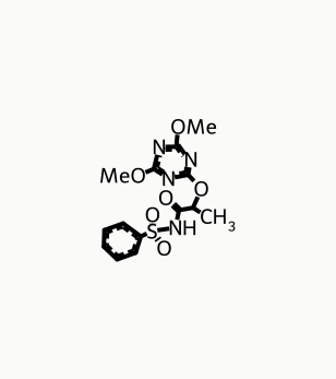 COc1nc(OC)nc(OC(C)C(=O)NS(=O)(=O)c2ccccc2)n1